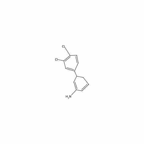 NC1=CC(c2ccc(Cl)c(Cl)c2)CC=C1